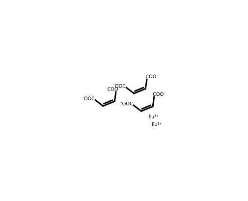 O=C([O-])/C=C\C(=O)[O-].O=C([O-])/C=C\C(=O)[O-].O=C([O-])/C=C\C(=O)[O-].[Eu+3].[Eu+3]